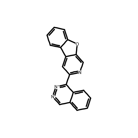 C1=[N+]=[N+]=C(c2cc3c(cn2)oc2ccccc23)c2ccccc21